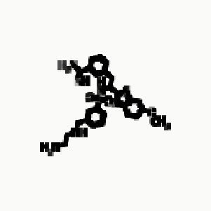 COc1ccc2nc(C(Cc3cccc(C(=N)N)c3)NS(=O)(=O)c3cccc(CNCCN)c3)sc2c1